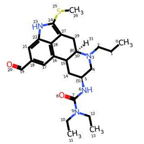 CCCN1C[C@@H](NC(=O)N(CC)CC)CC2c3cc(C=O)cc4[nH]c(SC)c(c34)C[C@H]21